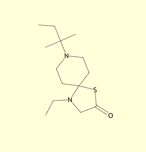 CCN1CC(=O)SC12CCN(C(C)(C)CC)CC2